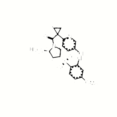 COc1ccc(S(=O)(=O)[C@@H]2C[C@@H](C(=O)O)N(C(=O)C3(c4ccc(Cl)cn4)CC3)C2)c(Cl)c1